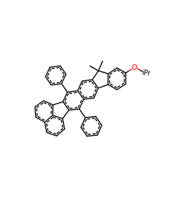 CC(C)Oc1ccc2c(c1)C(C)(C)c1cc3c(-c4ccccc4)c4c(c(-c5ccccc5)c3cc1-2)-c1cccc2cccc-4c12